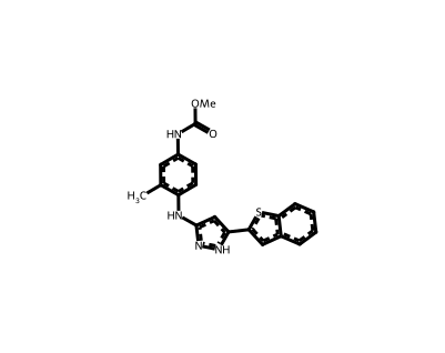 COC(=O)Nc1ccc(Nc2cc(-c3cc4ccccc4s3)[nH]n2)c(C)c1